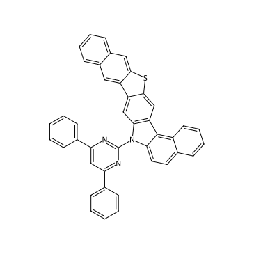 c1ccc(-c2cc(-c3ccccc3)nc(-n3c4cc5c(cc4c4c6ccccc6ccc43)sc3cc4ccccc4cc35)n2)cc1